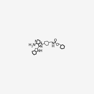 Nc1nccn2c(C3CCC(CNC(=O)OCc4ccccc4)CC3)nc(C3Cc4ccccc4N3)c12